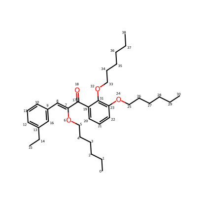 CCCCCCOC(=Cc1cccc(CC)c1)C(=O)c1cccc(OCCCCCC)c1OCCCCCC